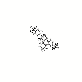 CS(=O)(=O)c1ccc(-c2cnn(-c3ccc(S(C)(=O)=O)cc3)c(=O)c2-c2ccc(F)cc2)cc1